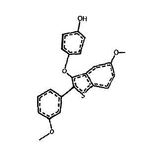 COc1cccc(-c2sc3ccc(OC)cc3c2Oc2ccc(O)cc2)c1